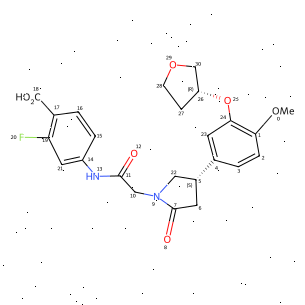 COc1ccc([C@@H]2CC(=O)N(CC(=O)Nc3ccc(C(=O)O)c(F)c3)C2)cc1O[C@@H]1CCOC1